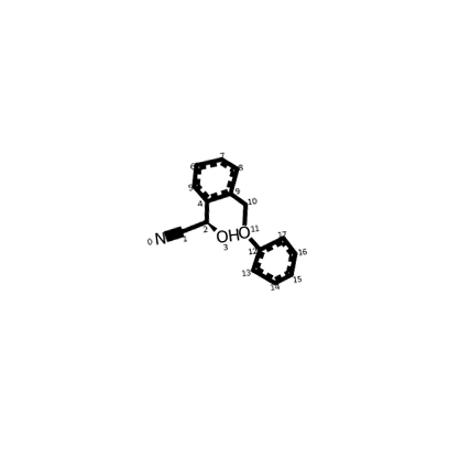 N#C[C@H](O)c1ccccc1COc1ccccc1